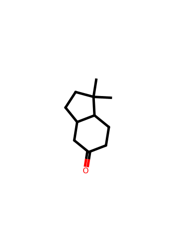 CC1(C)CCC2CC(=O)CCC21